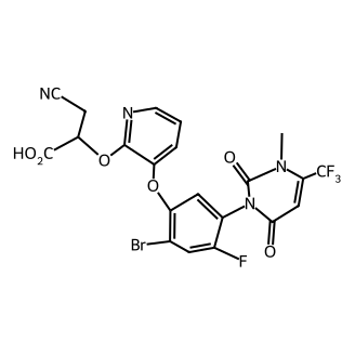 Cn1c(C(F)(F)F)cc(=O)n(-c2cc(Oc3cccnc3OC(CC#N)C(=O)O)c(Br)cc2F)c1=O